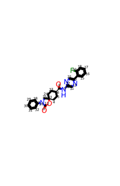 O=C1O[C@]2(CC[C@H](C(=O)Nc3cnc(-c4ccccc4F)cn3)CC2)CN1c1ccccc1